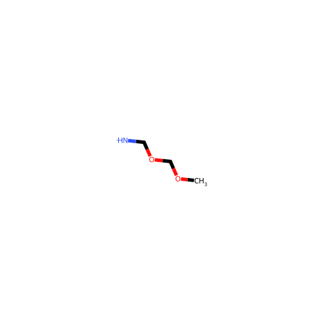 COCOC[NH]